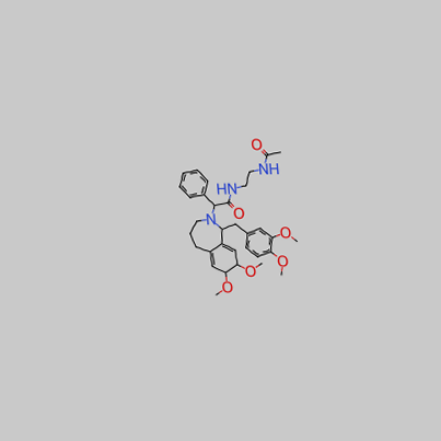 COc1ccc(CC2C3=CC(OC)C(OC)C=C3CCCN2C(C(=O)NCCNC(C)=O)c2ccccc2)cc1OC